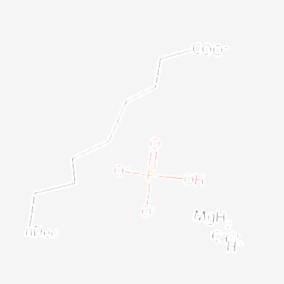 CCCCCCCCCCCCCCCCCC(=O)[O-].O=P([O-])([O-])O.[Ca+2].[H+].[MgH2]